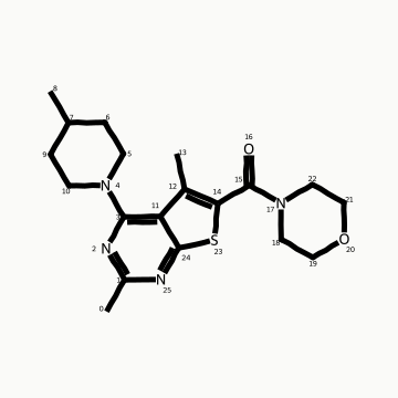 Cc1nc(N2CCC(C)CC2)c2c(C)c(C(=O)N3CCOCC3)sc2n1